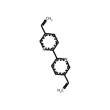 C=Cc1ccc(-c2ccc(C=C)cn2)nc1